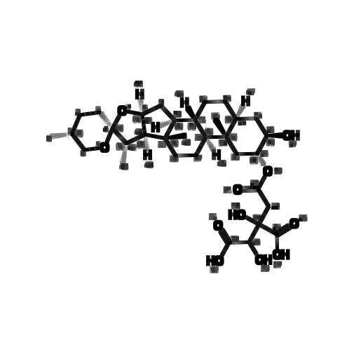 C[C@@H]1CC[C@]2(OC1)O[C@H]1C[C@H]3[C@@H]4CC[C@H]5C[C@@H](O)[C@H](OC(=O)CC(O)(C(=O)O)C(O)C(=O)O)C[C@]5(C)[C@H]4CC[C@]3(C)[C@H]1[C@@H]2C